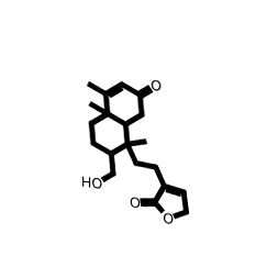 CC1=CC(=O)CC2C1(C)CCC(CO)C2(C)CCC1=CCOC1=O